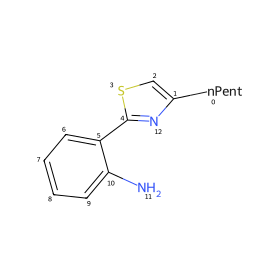 CCCCCc1csc(-c2ccccc2N)n1